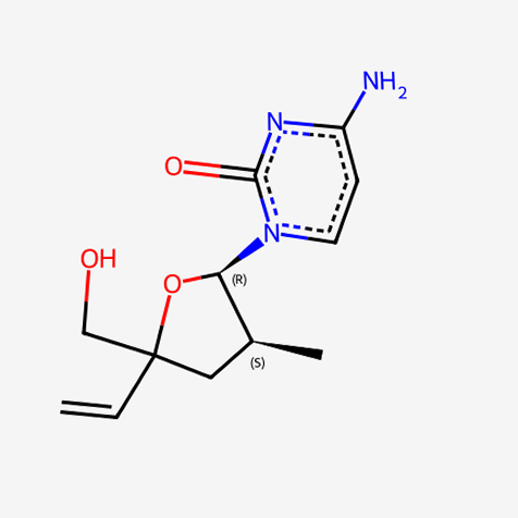 C=CC1(CO)C[C@H](C)[C@H](n2ccc(N)nc2=O)O1